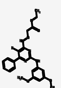 CCOC(=O)CONc1nc(Nc2cc(OC)cc(OC)c2)nc(-c2ccccc2)c1F